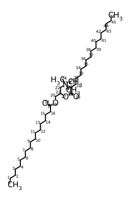 CCCCCCCCCCCCCCCCCC(=O)OCC(C[N+](C)(C)C)OC(=O)CCCCCCCCCCCCCCCCC